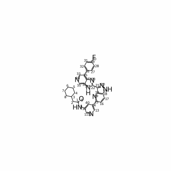 O=C(CC1CCCCC1)Nc1cncc(-c2ccc3[nH]nc(-c4nc5c(-c6ccc(F)cc6)cncc5[nH]4)c3n2)c1